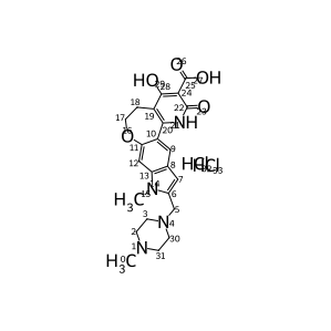 CN1CCN(Cc2cc3cc4c(cc3n2C)OCCc2c-4[nH]c(=O)c(C(=O)O)c2O)CC1.Cl.Cl